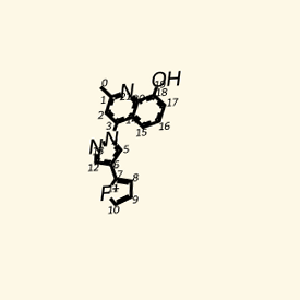 Cc1cc(-n2cc(C3=CC=C[F+]3)cn2)c2cccc(O)c2n1